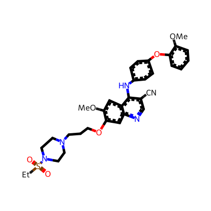 CCS(=O)(=O)N1CCN(CCCOc2cc3ncc(C#N)c(Nc4ccc(Oc5ccccc5OC)cc4)c3cc2OC)CC1